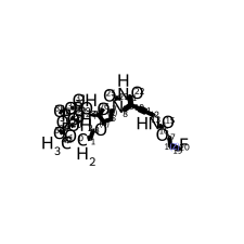 C=CCO[C@@H]1C[C@H](n2cc(C#CCNC(=O)OC/C=C\F)c(=O)[nH]c2=O)O[C@@H]1COP(=O)(O)OP(=O)(O)OP(=O)(O)OC